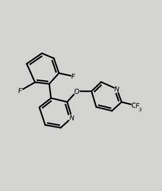 Fc1cccc(F)c1-c1cccnc1Oc1ccc(C(F)(F)F)nc1